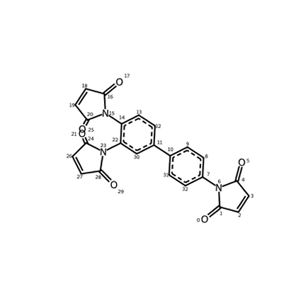 O=C1C=CC(=O)N1c1ccc(-c2ccc(N3C(=O)C=CC3=O)c(N3C(=O)C=CC3=O)c2)cc1